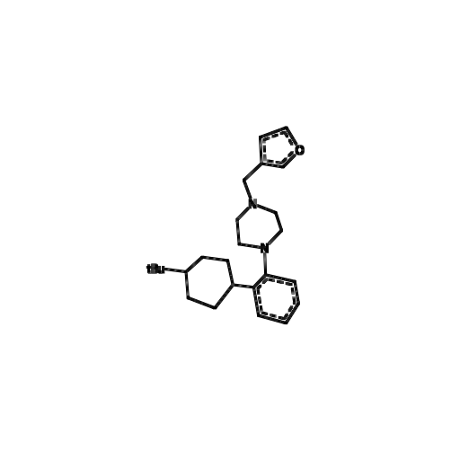 CC(C)(C)C1CCC(c2ccccc2N2CCN(Cc3ccoc3)CC2)CC1